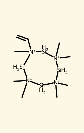 C=C[N+]1(C)[SiH2][N+](C)(C)[SiH2][N+](C)(C)[SiH2][N+](C)(C)[SiH2]1